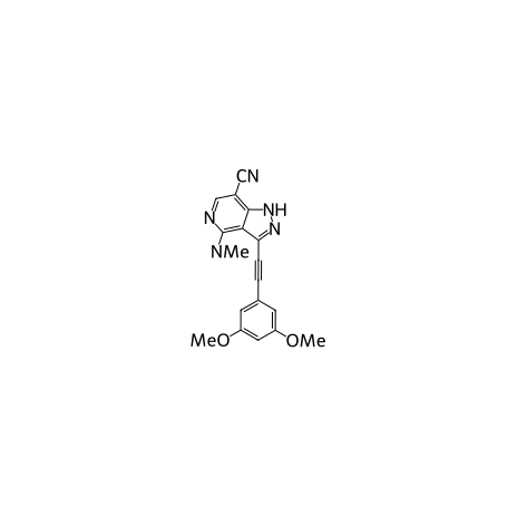 CNc1ncc(C#N)c2[nH]nc(C#Cc3cc(OC)cc(OC)c3)c12